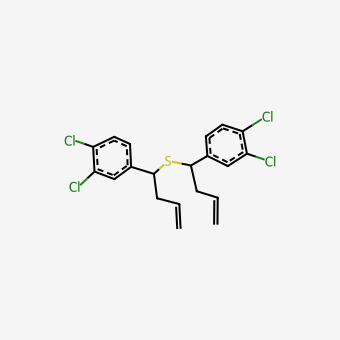 C=CCC(SC(CC=C)c1ccc(Cl)c(Cl)c1)c1ccc(Cl)c(Cl)c1